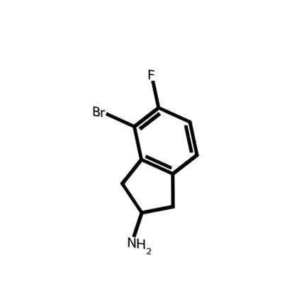 NC1Cc2ccc(F)c(Br)c2C1